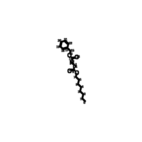 CCCCCCCCOC(=O)/N=N/C(=O)OCc1ccccc1